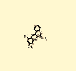 Cc1cc(Br)c2cc(-c3ccccc3)c(C(N)=O)nc2c1